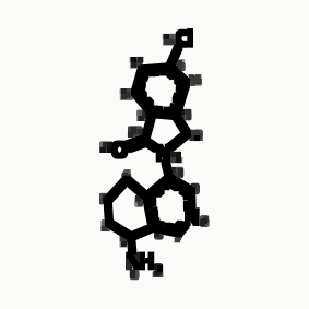 NC1CCCc2c1cncc2N1Cc2cc(Cl)ccc2C1=O